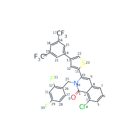 O=c1c2c(Cl)cccc2cc(-c2cc(-c3cc(C(F)(F)F)cc(C(F)(F)F)c3)cs2)n1Cc1ccc(F)cc1F